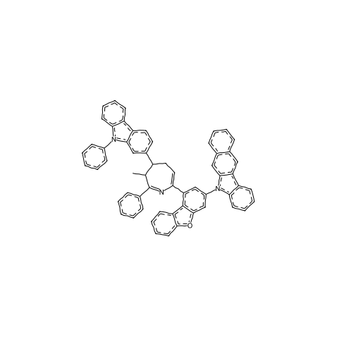 CC1C(c2ccccc2)=NC(c2cc(-n3c4ccccc4c4cc5ccccc5cc43)cc3oc4ccccc4c23)=CCC1c1ccc2c3ccccc3n(-c3ccccc3)c2c1